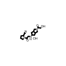 Cl.N#CC1CCCN1C(=O)CNC1CC2CN(C(=O)CO)CC2C1